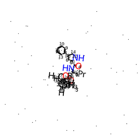 CC(C)[C@H](NC(=O)[C@@H]1C[C@H](c2ccccc2)CN1)B1O[C@@H]2C[C@@H]3C[C@@H](C3(C)C)[C@]2(C)O1